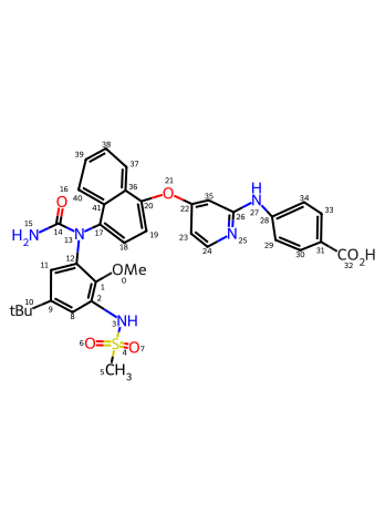 COc1c(NS(C)(=O)=O)cc(C(C)(C)C)cc1N(C(N)=O)c1ccc(Oc2ccnc(Nc3ccc(C(=O)O)cc3)c2)c2ccccc12